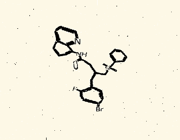 C[Si](C)(CC(CC(=O)Nc1cccc2cccnc12)Cc1ccc(Br)cc1F)c1ccccc1